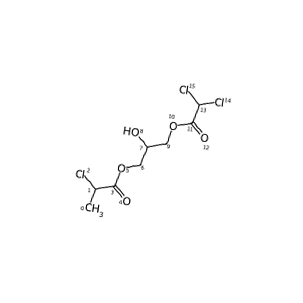 CC(Cl)C(=O)OCC(O)COC(=O)C(Cl)Cl